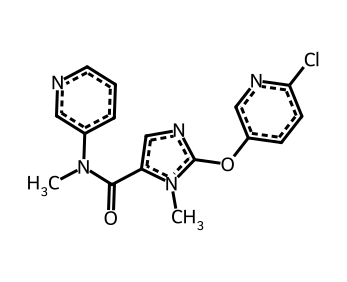 CN(C(=O)c1cnc(Oc2ccc(Cl)nc2)n1C)c1cccnc1